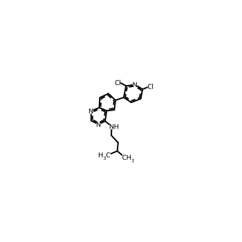 CC(C)CCNc1ncnc2ccc(-c3ccc(Cl)nc3Cl)cc12